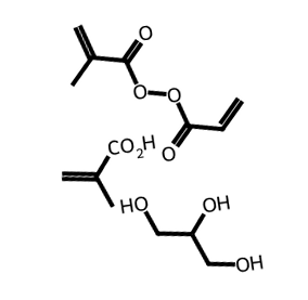 C=C(C)C(=O)O.C=CC(=O)OOC(=O)C(=C)C.OCC(O)CO